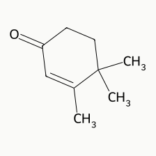 CC1=CC(=O)CCC1(C)C